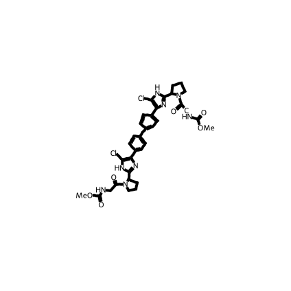 COC(=O)NCC(=O)N1CCCC1c1nc(-c2ccc(-c3ccc(-c4nc(C5CCCN5C(=O)CNC(=O)OC)[nH]c4Cl)cc3)cc2)c(Cl)[nH]1